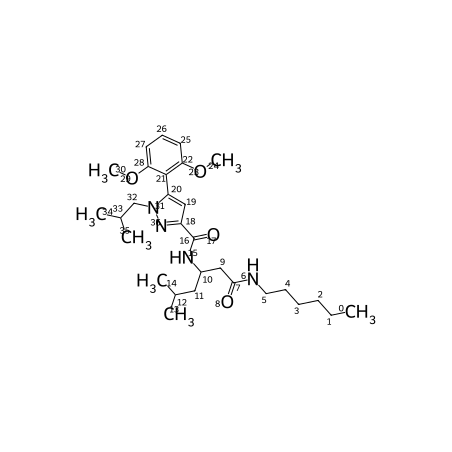 CCCCCCNC(=O)CC(CC(C)C)NC(=O)c1cc(-c2c(OC)cccc2OC)n(CC(C)C)n1